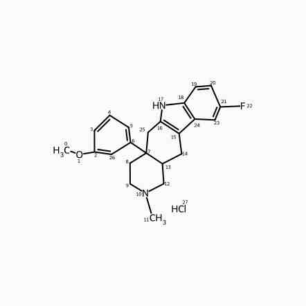 COc1cccc(C23CCN(C)CC2Cc2c([nH]c4ccc(F)cc24)C3)c1.Cl